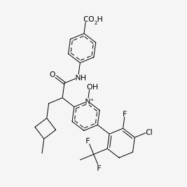 CC1CC(CC(C(=O)Nc2ccc(C(=O)O)cc2)c2ccc(C3=C(C(C)(F)F)CCC(Cl)=C3F)c[n+]2O)C1